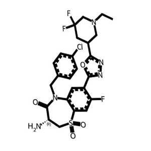 CCN1CC(c2nnc(-c3cc4c(cc3F)S(=O)(=O)C[C@H](N)C(=O)N4Cc3ccc(Cl)cc3)o2)CC(F)(F)C1